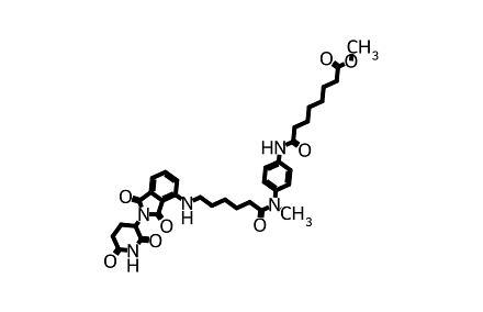 COC(=O)CCCCCCC(=O)Nc1ccc(N(C)C(=O)CCCCCNc2cccc3c2C(=O)N(C2CCC(=O)NC2=O)C3=O)cc1